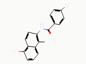 O=C(Nc1ccc2c(O)cccc2c1S(=O)(=O)O)c1ccc([N+](=O)[O-])cc1